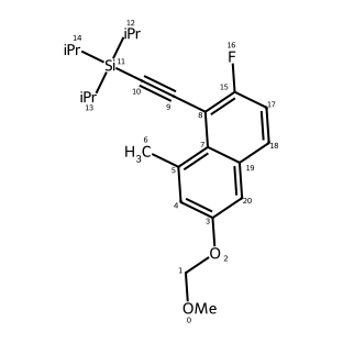 COCOc1cc(C)c2c(C#C[Si](C(C)C)(C(C)C)C(C)C)c(F)ccc2c1